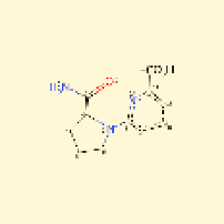 NC(=O)[C@@H]1CCCN1c1cccc(C(=O)O)n1